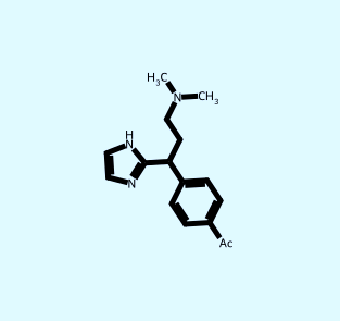 CC(=O)c1ccc(C(CCN(C)C)c2ncc[nH]2)cc1